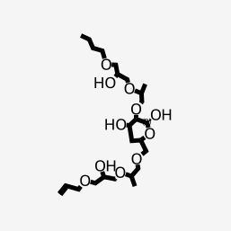 C=CCOCC(O)COC(C)COCC1CC(O)C(OCC(C)OCC(O)COCCCC)[C@H](O)O1